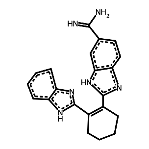 N=C(N)c1ccc2nc(C3=C(c4nc5ccccc5[nH]4)CCCC3)[nH]c2c1